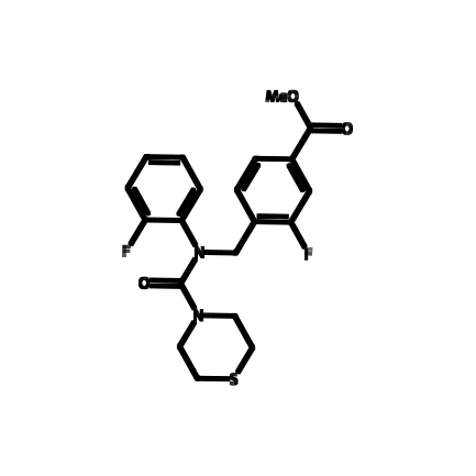 COC(=O)c1ccc(CN(C(=O)N2CCSCC2)c2ccccc2F)c(F)c1